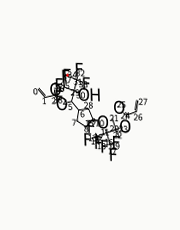 C=CC(=O)OC(C1CCC(OC(C(F)(F)F)(C(F)(F)F)C(C)(C)OC(=O)C=C)C1)C(O)(C(F)(F)F)C(F)(F)F